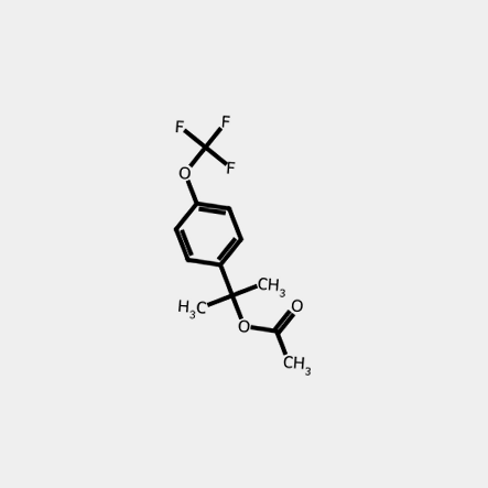 CC(=O)OC(C)(C)c1ccc(OC(F)(F)F)cc1